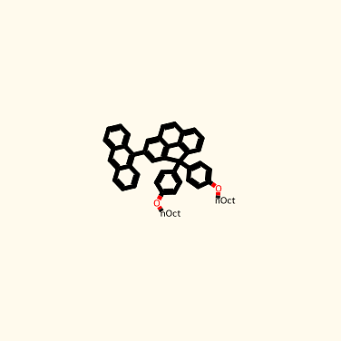 CCCCCCCCOc1ccc(C2(c3ccc(OCCCCCCCC)cc3)c3cccc4ccc5cc(-c6c7ccccc7cc7ccccc67)cc2c5c34)cc1